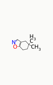 CC1(C)CCc2oncc2C1